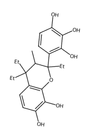 CCC1(CC)c2ccc(O)c(O)c2OC(CC)(c2ccc(O)c(O)c2O)C1C